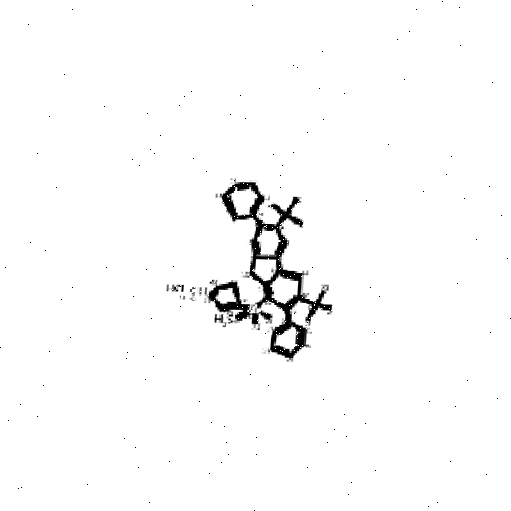 CC(C)(C)c1cc2c(cc1-c1ccccc1)Cc1c-2cc(C(C)(C)C)c(-c2ccccc2)[c]1[Zr]([CH3])([CH3])(=[SiH2])[C]1=CC=CC1.Cl.Cl